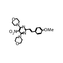 COc1ccc(C=Cc2nc(N3CCOCC3)c([N+](=O)[O-])c(N3CCOCC3)n2)cc1